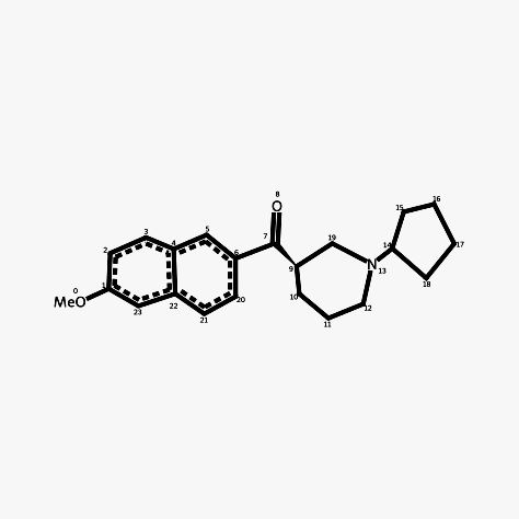 COc1ccc2cc(C(=O)[C@@H]3CCCN(C4CCCC4)C3)ccc2c1